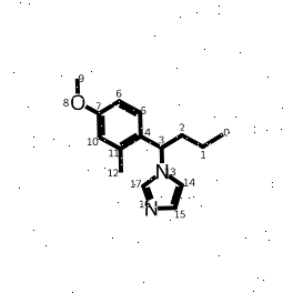 CCCC(c1ccc(OC)cc1C)n1ccnc1